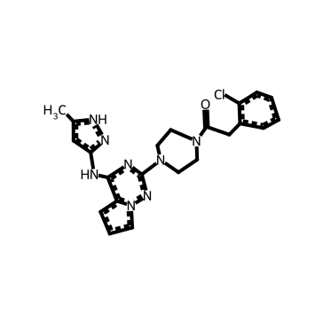 Cc1cc(Nc2nc(N3CCN(C(=O)Cc4ccccc4Cl)CC3)nn3cccc23)n[nH]1